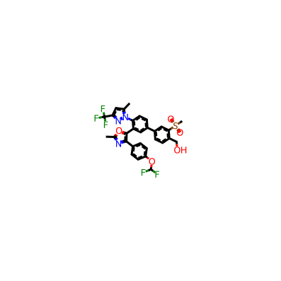 Cc1nc(-c2ccc(OC(F)F)cc2)c(-c2cc(-c3ccc(CO)c(S(C)(=O)=O)c3)ccc2-n2nc(C(F)(F)F)cc2C)o1